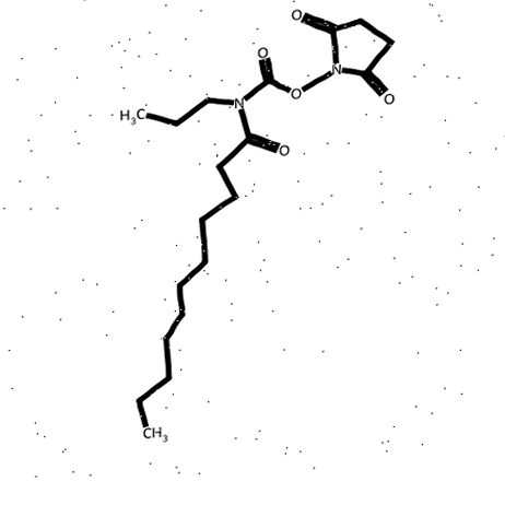 CCC[CH]CCCCCCC(=O)N(CCC)C(=O)ON1C(=O)CCC1=O